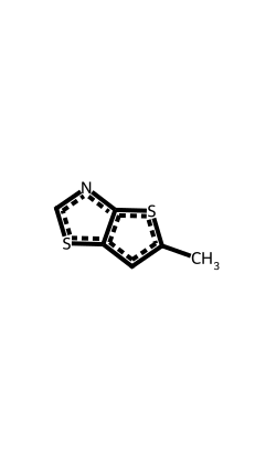 Cc1cc2scnc2s1